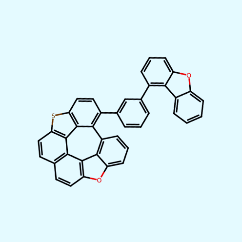 c1cc(-c2ccc3sc4ccc5ccc6oc7cccc8c7c6c5c4c3c2-8)cc(-c2cccc3oc4ccccc4c23)c1